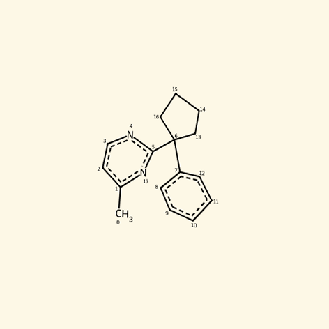 Cc1ccnc(C2(c3ccccc3)CCCC2)n1